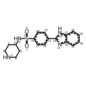 O=S(=O)(NC1CCNCC1)c1ccc(-c2nc3ccccc3[nH]2)cc1